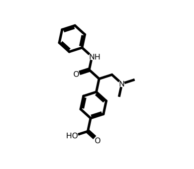 CN(C)CC(C(=O)Nc1ccccc1)c1ccc(C(=O)O)cc1